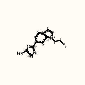 FCCn1ccc2ccc(-c3nnc(S)o3)cc21